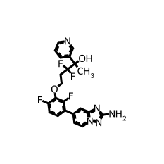 CC(O)(c1cccnc1)C(F)(F)CCOc1c(F)ccc(-c2ccn3nc(N)nc3c2)c1F